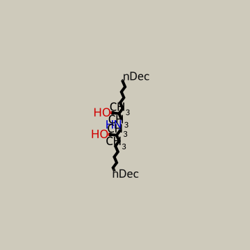 CCCCCCCCCCCCCCCCC(CNCC(CCCCCCCCCCCCCCCC)C(C)(C)O)C(C)(C)O